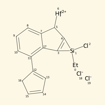 CC[Si]1(Cl)C2=C1[CH]([Hf+2])c1cccc(C3=CC=CC3)c12.[Cl-].[Cl-]